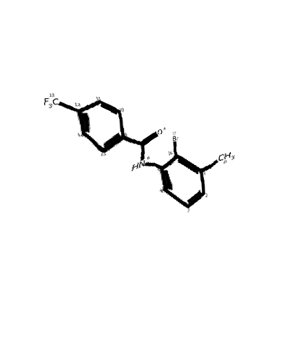 Cc1cccc(NC(=O)c2ccc(C(F)(F)F)cc2)c1Br